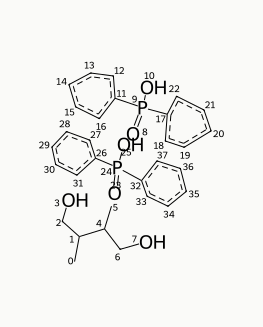 CC(CO)C(C)CO.O=P(O)(c1ccccc1)c1ccccc1.O=P(O)(c1ccccc1)c1ccccc1